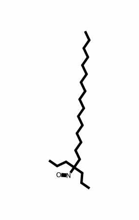 CCCCCCCCCCCCCCCCC(CCC)(CCC)N=O